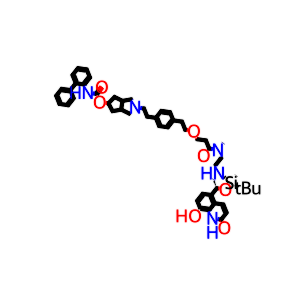 CN(CCNC[C@H](O[Si](C)(C)C(C)(C)C)c1ccc(O)c2[nH]c(=O)ccc12)C(=O)CCOCCc1ccc(CCN2CC3CC(OC(=O)Nc4ccccc4-c4ccccc4)CC3C2)cc1